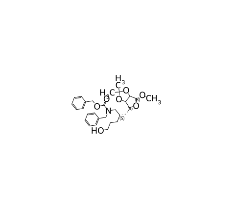 CO[C@@H]1O[C@H](C[C@H](CCCO)CN(Cc2ccccc2)C(=O)OCc2ccccc2)C2OC(C)(C)OC21